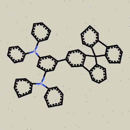 c1ccc(N(c2ccccc2)c2cc(-c3ccc4c(c3)-c3ccccc3C43c4ccccc4-c4ccccc43)cc(N(c3ccccc3)c3ccccc3)c2)cc1